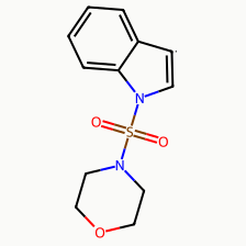 O=S(=O)(N1CCOCC1)n1c[c]c2ccccc21